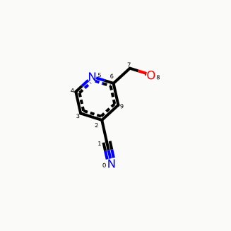 N#Cc1ccnc(C[O])c1